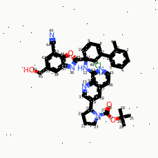 Cc1ccccc1C1=CC=CC(Nc2nccc3cc(C4CCCN4C(=O)OC(C)(C)C)cnc23)(c2nc3cc(CO)cc(C#N)c3o2)C1Cl